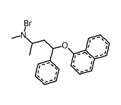 CC(CC(Oc1cccc2ccccc12)c1ccccc1)N(C)Br